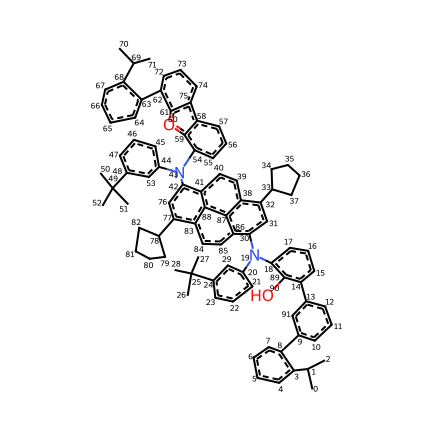 CC(C)c1ccccc1-c1cccc(-c2cccc(N(c3cccc(C(C)(C)C)c3)c3cc(C4CCCC4)c4ccc5c(N(c6cccc(C(C)(C)C)c6)c6cccc7c6oc6c(-c8ccccc8C(C)C)cccc67)cc(C6CCCC6)c6ccc3c4c65)c2O)c1